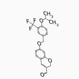 CC(C)Oc1ccc(COc2ccc3c(c2)OCC(C=O)=C3)cc1C(F)(F)F